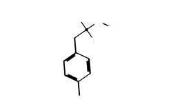 CCOC(F)(F)Cc1ccc(C)cc1